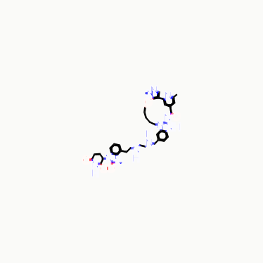 Cc1cc2cc(n1)-c1cnn(C)c1OCCC[C@@H](C)CN1/C(=N/C2=O)Nc2ccc(CNCCNCCc3cccc4c3n(C)c(=O)n4C3CCC(=O)NC3=O)cc21